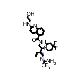 C=C/C(=C\N=C(/N)C(F)(F)F)C(CNC(=O)c1cccc2nc(NCCO)ccc12)N1CCC(F)(F)CC1